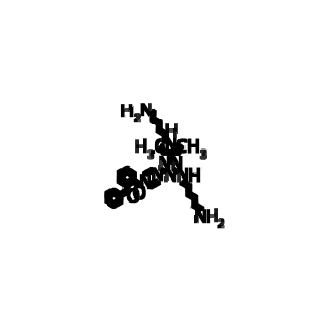 CCC(CC)(NCCCCCCN)c1nc(NCCCCCCN)nc(N2CCN(C(=O)c3ccccc3C(=O)c3ccccc3)CC2)n1